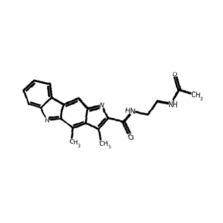 CC(=O)NCCNC(=O)C1=C(C)c2c(C)c3c(cc2=N1)-c1ccccc1N=3